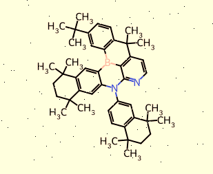 CC(C)(C)c1ccc2c(c1)B1c3cc4c(cc3N(c3ccc5c(c3)C(C)(C)CCC5(C)C)c3nccc(c31)C2(C)C)C(C)(C)CCC4(C)C